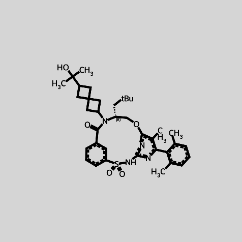 Cc1cccc(C)c1-c1nc2nc(c1C)OC[C@@H](CC(C)(C)C)N(C1CC3(C1)CC(C(C)(C)O)C3)C(=O)c1cccc(c1)S(=O)(=O)N2